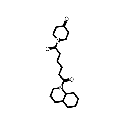 O=C1CCN(C(=O)CCCCC(=O)N2CCCC3CCCCC32)CC1